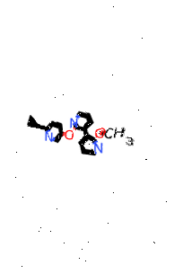 COc1ncccc1-c1cccnc1Oc1ccc(C2CC2)nc1